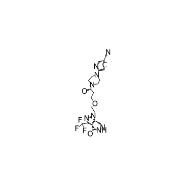 N#Cc1ccc(N2CCN(C(=O)CCOCCn3nc(C(F)(F)F)c4c(=O)[nH]ncc43)CC2)nc1